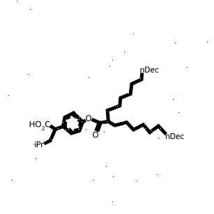 CCCCCCCCCCCCCCCCC(CCCCCCCCCCCCCCCC)C(=O)Oc1ccc(C(C[C](C)C)C(=O)O)cc1